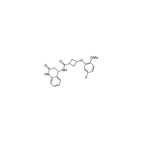 COc1ccc(F)cc1OC1CC(C(=O)NC2CC(=O)Nc3ccccc32)C1